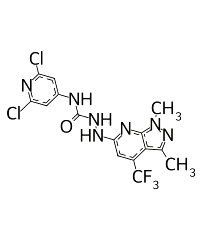 Cc1nn(C)c2nc(NNC(=O)Nc3cc(Cl)nc(Cl)c3)cc(C(F)(F)F)c12